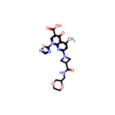 Cc1cc(N2CC(C(=O)NCC3COCCO3)C2)nc2c1c(=O)c(C(=O)O)cn2-c1ncns1